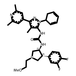 COCCN1C[C@@H](NC(=O)Nc2c(C)c(-c3cc(C)nc(C)c3)nn2C2C=CC=CC2)[C@H](c2ccc(F)c(F)c2)C1